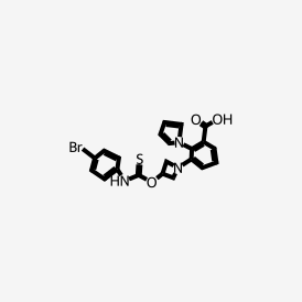 O=C(O)c1cccc(N2CC(OC(=S)Nc3ccc(Br)cc3)C2)c1-n1cccc1